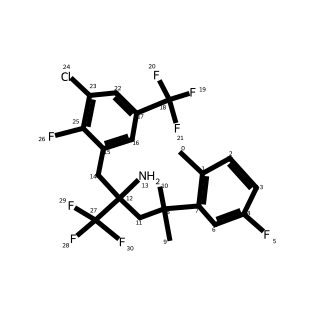 Cc1ccc(F)cc1C(C)(C)CC(N)(Cc1cc(C(F)(F)F)cc(Cl)c1F)C(F)(F)F